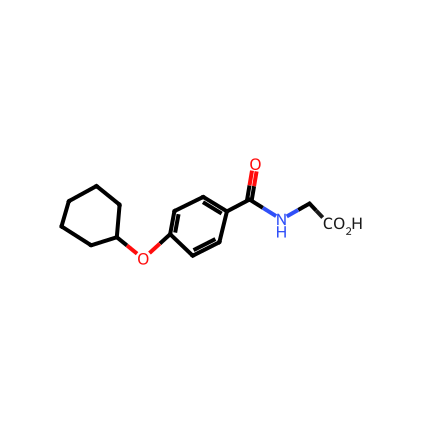 O=C(O)CNC(=O)c1ccc(OC2CCCCC2)cc1